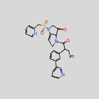 CC(C)CC(C(=O)N1CC=C2C1C(=O)CN2S(=O)(=O)Cc1ccccn1)c1cccc(-c2cccnc2)c1